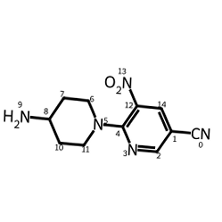 N#Cc1cnc(N2CCC(N)CC2)c([N+](=O)[O-])c1